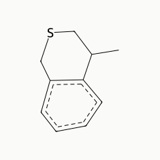 CC1CSCc2ccccc21